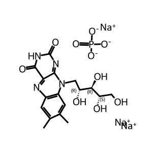 Cc1cc2nc3c(=O)[nH]c(=O)nc-3n(C[C@@H](O)[C@@H](O)[C@@H](O)CO)c2cc1C.O=P([O-])([O-])[O-].[Na+].[Na+].[Na+]